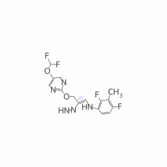 Cc1c(F)ccc(N/C=C(/COc2ncc(OC(F)F)cn2)N=N)c1F